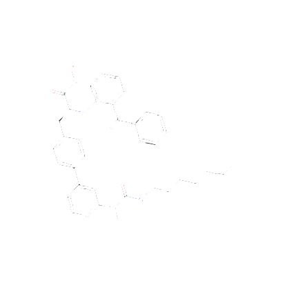 CCCCCCCNC(=O)N(C)c1cccc(-c2ccc(C[C@H](Nc3ccccc3C(=O)c3ccccc3)C(=O)NO)cc2)c1